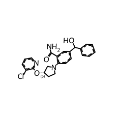 NC(=O)c1cc(C(O)c2ccccc2)ccc1N1CC[C@H](Oc2ncccc2Cl)C1